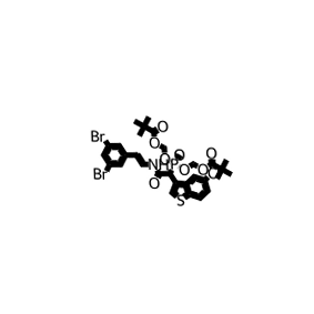 CC(C)(C)C(=O)OCOP(=O)(OCOC(=O)C(C)(C)C)C(C(=O)N/C=C/c1cc(Br)cc(Br)c1)c1csc2ccc(Cl)cc12